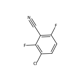 N#Cc1c(F)ccc(Cl)c1F